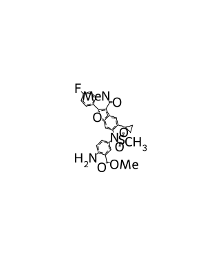 CNC(=O)c1c(-c2ccc(F)cc2)oc2cc(N(c3ccc(N)c(C(=O)OC)c3)S(C)(=O)=O)c(C3CC3)cc12